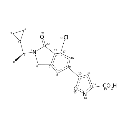 C[C@@H](C1CC1)N1Cc2cc(-c3cc(C(=O)O)no3)cc(Cl)c2C1=O